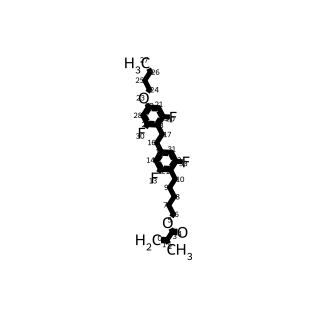 C=C(C)C(=O)OCCCCCc1c(F)cc(CCc2c(F)cc(OCCCC)cc2F)cc1F